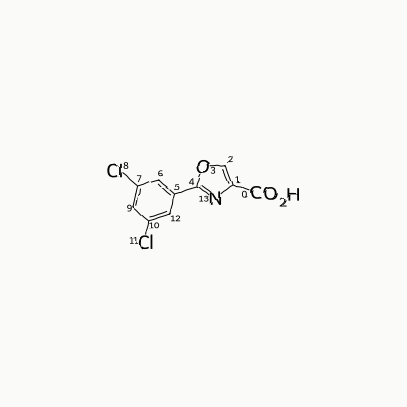 O=C(O)c1coc(-c2cc(Cl)cc(Cl)c2)n1